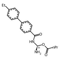 CCCC(=O)O[C@@H](N)NC(=O)c1ccc(-c2ccc(CC)cc2)cc1